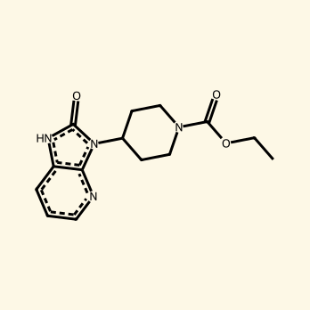 CCOC(=O)N1CCC(n2c(=O)[nH]c3cccnc32)CC1